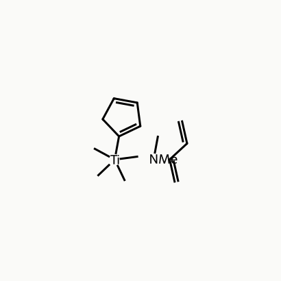 C=CC=C.CNC.[CH3][Ti]([CH3])([CH3])([CH3])[C]1=CC=CC1